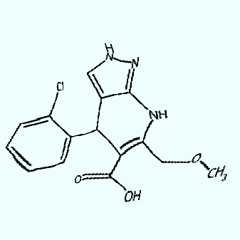 COCC1=C(C(=O)O)C(c2ccccc2Cl)c2c[nH]nc2N1